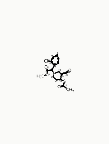 COC(=O)C(c1ccccc1Cl)N1CCC(SC(C)=O)C(=C=O)C1